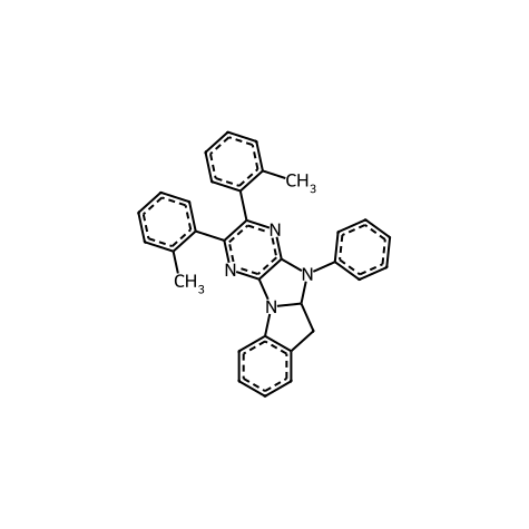 Cc1ccccc1-c1nc2c(nc1-c1ccccc1C)N1c3ccccc3CC1N2c1ccccc1